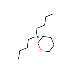 C1CCOCC1.CCCC[Te]CCCC